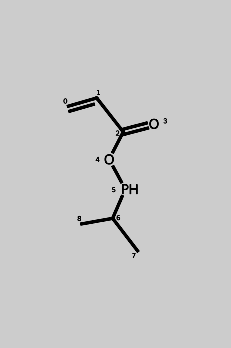 C=CC(=O)OPC(C)C